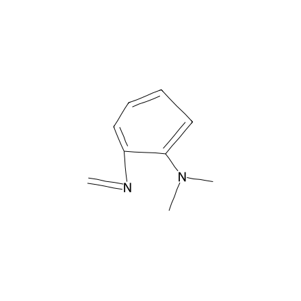 C=Nc1ccccc1N(C)C